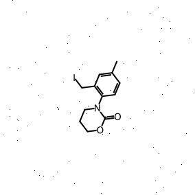 Cc1ccc(N2CCCOC2=O)c(CI)c1